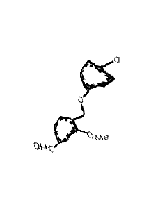 COc1cc(C=O)ccc1COc1ccc(Cl)cc1